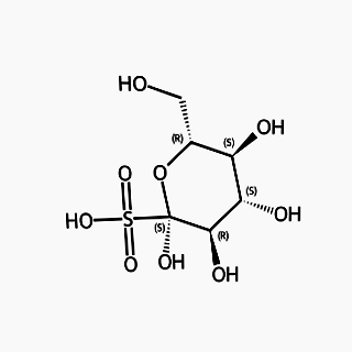 O=S(=O)(O)[C@@]1(O)O[C@H](CO)[C@@H](O)[C@H](O)[C@H]1O